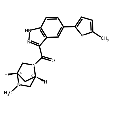 Cc1ccc(-c2ccc3[nH]nc(C(=O)N4C[C@@H]5C[C@H]4CN5C)c3c2)s1